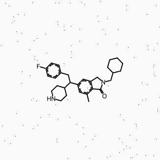 Cc1cc(C(Cc2ccc(F)cc2)C2CCNCC2)cc2c1C(=O)N(CC1CCCCC1)C2